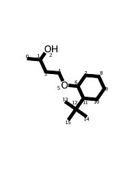 CC(O)CCOC1CCCCC1C(C)(C)C